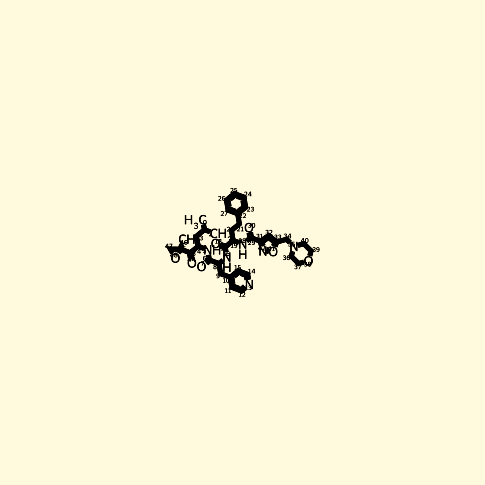 CC(C)CC(NC(=O)C(Cc1ccncc1)NC(=O)C(CCc1ccccc1)NC(=O)c1cc(CN2CCOCC2)on1)C(=O)C1(C)CO1